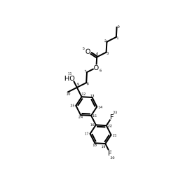 CCCCC(=O)OCCC(C)(O)c1ccc(-c2ccc(F)cc2F)cc1